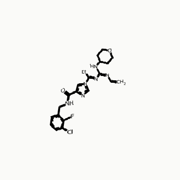 C=C/N=C(\N=C(/CC)n1cnc(C(=O)NCc2cccc(Cl)c2F)c1)NC1CCOCC1